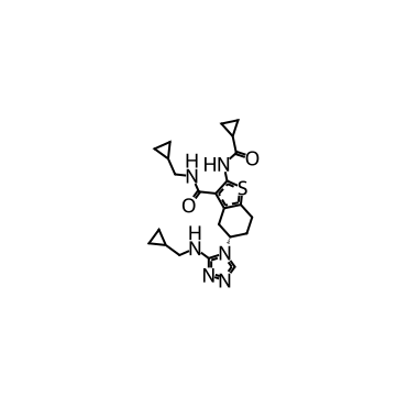 O=C(NCC1CC1)c1c(NC(=O)C2CC2)sc2c1C[C@@H](n1cnnc1NCC1CC1)CC2